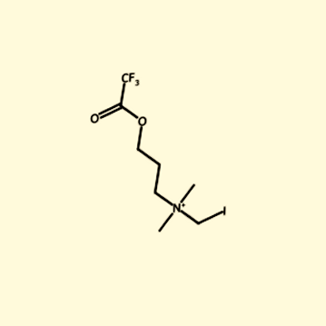 C[N+](C)(CI)CCCOC(=O)C(F)(F)F